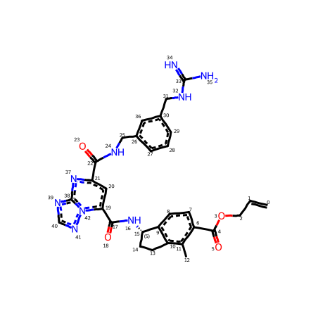 C=CCOC(=O)c1ccc2c(c1C)CC[C@@H]2NC(=O)c1cc(C(=O)NCc2cccc(CNC(=N)N)c2)nc2ncnn12